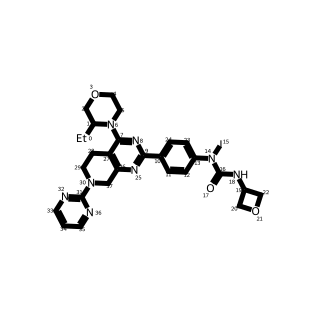 CCC1COCCN1c1nc(-c2ccc(N(I)C(=O)NC3COC3)cc2)nc2c1CCN(c1ncccn1)C2